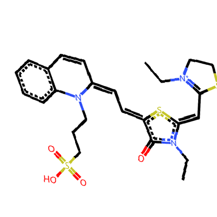 CCn1c(=CC2=[N+](CC)CCS2)sc(=CC=C2C=Cc3ccccc3N2CCCS(=O)(=O)O)c1=O